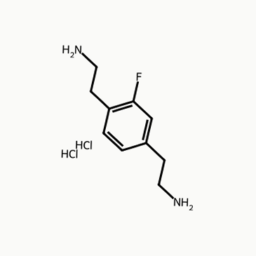 Cl.Cl.NCCc1ccc(CCN)c(F)c1